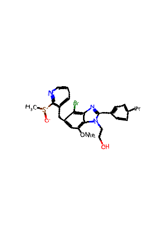 COc1cc(Cc2cccnc2[S+](C)[O-])c(Br)c2nc(-c3ccc(C(C)C)cc3)n(CCO)c12